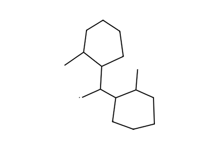 [CH2]C(C1CCCCC1C)C1CCCCC1C